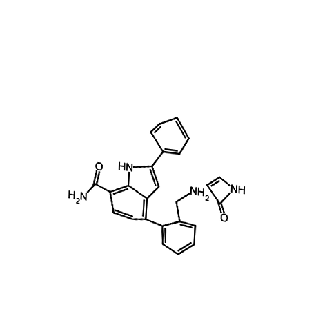 NCc1ccccc1-c1ccc(C(N)=O)c2[nH]c(-c3ccccc3)cc12.O=C1C=CN1